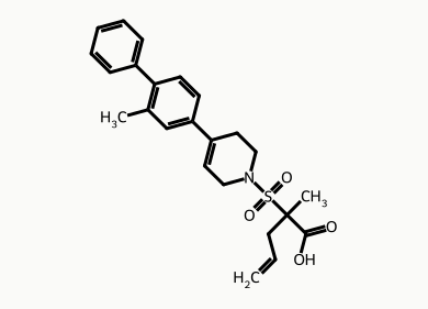 C=CCC(C)(C(=O)O)S(=O)(=O)N1CC=C(c2ccc(-c3ccccc3)c(C)c2)CC1